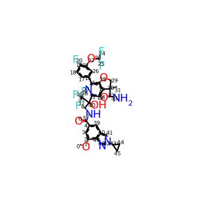 COc1cc(C(=O)NCC(O)(c2cc3c(c(-c4ccc(F)c(OC(F)F)c4)n2)OC[C@]3(C)C(N)=O)C(F)(F)F)cc2cn(C3CC3)nc12